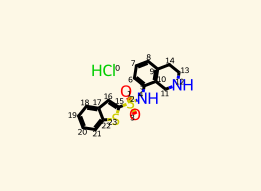 Cl.O=S(=O)(Nc1cccc2c1CNCC2)c1cc2ccccc2s1